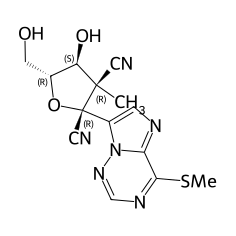 CSc1ncnn2c([C@]3(C#N)O[C@H](CO)[C@@H](O)[C@@]3(C)C#N)cnc12